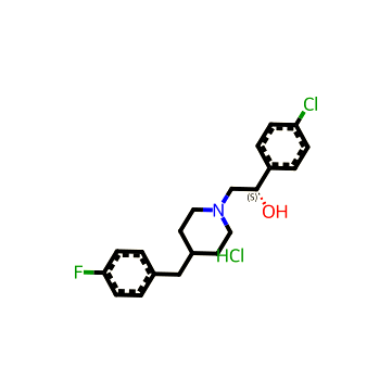 Cl.O[C@H](CN1CCC(Cc2ccc(F)cc2)CC1)c1ccc(Cl)cc1